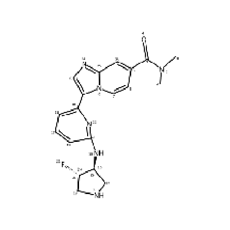 CN(C)C(=O)c1ccn2c(-c3cccc(N[C@H]4CNC[C@@H]4F)n3)cnc2c1